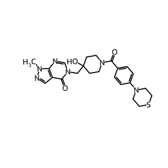 Cn1ncc2c(=O)n(CC3(O)CCN(C(=O)c4ccc(N5CCSCC5)cc4)CC3)cnc21